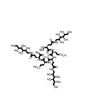 CC(C)(C)N[C@@H](CCC(=O)NC[C@H](O)[C@@H](O)[C@H](O)[C@H](O)CO)C(=O)N[C@@H](CCC(=O)O)C(=O)N[C@@H](CCC(=O)NC[C@H](O)[C@@H](O)[C@H](O)[C@H](O)CO)C(=O)N[C@@H](CCC(=O)O)C(=O)N[C@@H](CCC(=O)NC[C@H](O)[C@@H](O)[C@H](O)[C@H](O)CO)C(=O)C(C)(C)C